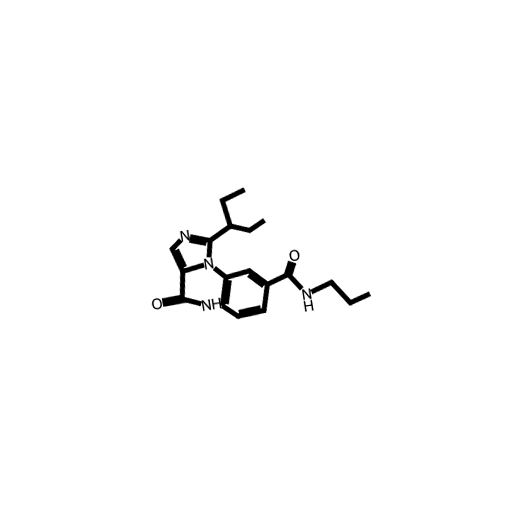 CCCNC(=O)c1ccc2[nH]c(=O)c3cnc(C(CC)CC)n3c2c1